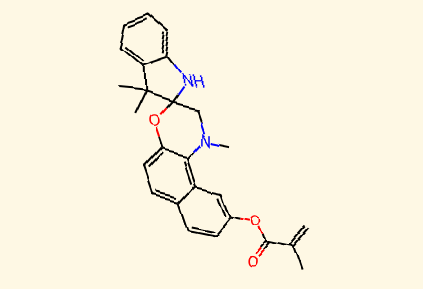 C=C(C)C(=O)Oc1ccc2ccc3c(c2c1)N(C)CC1(Nc2ccccc2C1(C)C)O3